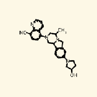 CC1CN(c2ccc(C#N)c3ncccc23)CC2c3ccc(N4CCC(O)C4)cc3CN12